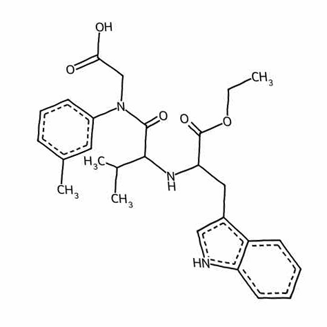 CCOC(=O)C(Cc1c[nH]c2ccccc12)NC(C(=O)N(CC(=O)O)c1cccc(C)c1)C(C)C